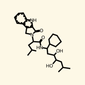 CC(C)CC(O)C(O)CC(NC(=O)C(CC(C)C)N1Cc2c([nH]c3ccccc23)C1=O)C1CCCCC1